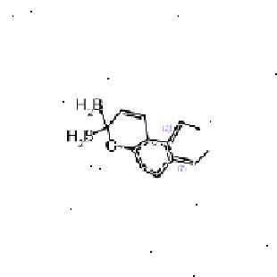 BC1(B)C=Cc2c(ccc(=C/C)/c2=C\C)O1